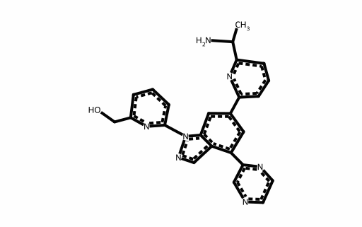 CC(N)c1cccc(-c2cc(-c3cnccn3)c3cnn(-c4cccc(CO)n4)c3c2)n1